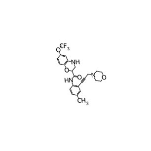 Cc1ccc(NC(=O)C2CNc3cc(OC(F)(F)F)ccc3O2)c(C#CCN2CCOCC2)c1